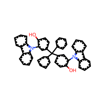 Oc1ccc(C(c2ccccc2)(c2ccccc2)c2ccc(O)c(-n3c4ccccc4c4ccccc43)c2)cc1-n1c2ccccc2c2ccccc21